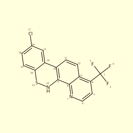 FC(F)(F)c1ccnc2c3c(ccc12)-c1cc(Cl)ccc1SN3